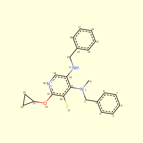 CN(Cc1ccccc1)c1c(NCc2ccccc2)cnc(OC2CC2)c1F